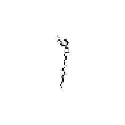 CCCCCCCCCCOc1cc[s+]([O-])c1